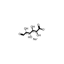 O=C[C@H](O)[C@@H](O)[C@@H](O)[C@H](O)C(=O)[O-].[Na+]